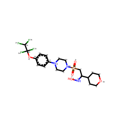 O=S(=O)(CC(NO)C1CCOCC1)N1CCN(c2ccc(OC(F)(F)C(F)F)cc2)CC1